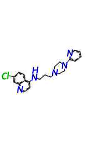 Clc1ccc2c(NCCCN3CCN(c4ccccn4)CC3)ccnc2c1